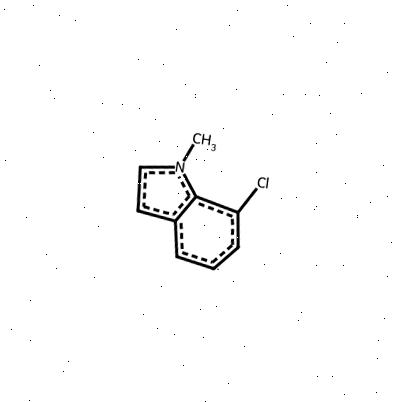 Cn1ccc2c[c]cc(Cl)c21